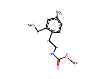 CSCc1cc([N+](=O)[O-])ccc1CCNC(=O)OC(C)(C)C